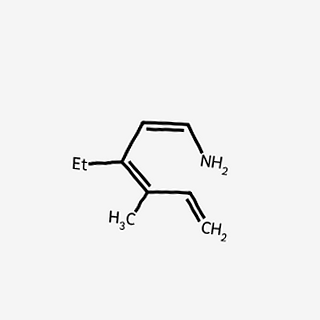 C=C/C(C)=C(\C=C/N)CC